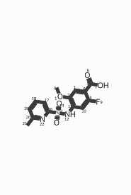 COc1cc(C(=O)O)c(F)cc1NS(=O)(=O)c1cccc(C)n1